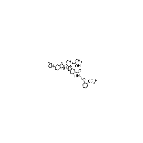 CC(O)Cn1c(C(C)c2nc3cc(-n4ccnc4)ccc3[nH]2)nc2ccc(C(=O)NCCOc3ccccc3C(=O)O)cc21